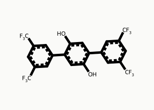 Oc1cc(-c2cc(C(F)(F)F)cc(C(F)(F)F)c2)c(O)cc1-c1cc(C(F)(F)F)cc(C(F)(F)F)c1